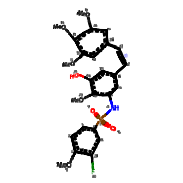 COc1ccc(S(=O)(=O)Nc2cc(/C=C\c3cc(OC)c(OC)c(OC)c3)cc(O)c2OC)cc1F